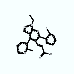 CCn1ncc2c(-c3cccnc3C)c(C=CC(=O)O)c(-c3ccccc3F)nc21